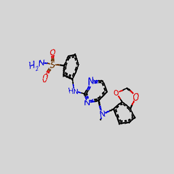 CN(c1ccnc(Nc2cccc(S(N)(=O)=O)c2)n1)c1cccc2c1OCO2